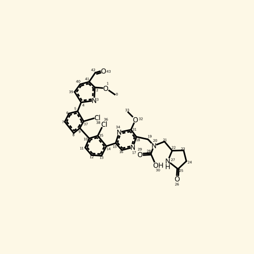 COc1nc(-c2cccc(-c3cccc(-c4cnc(CN(CC5CCC(=O)N5)C(=O)O)c(OC)n4)c3Cl)c2Cl)ccc1C=O